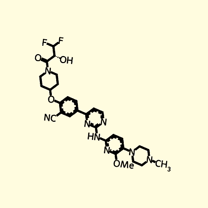 COc1nc(Nc2nccc(-c3ccc(OC4CCN(C(=O)[C@@H](O)C(F)F)CC4)c(C#N)c3)n2)ccc1N1CCN(C)CC1